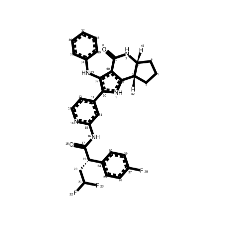 O=C1N[C@@H]2CCC[C@@H]2c2[nH]c(-c3ccnc(NC(=O)[C@@H](CC(F)F)c4ccc(F)cc4)c3)c(Nc3ccccc3)c21